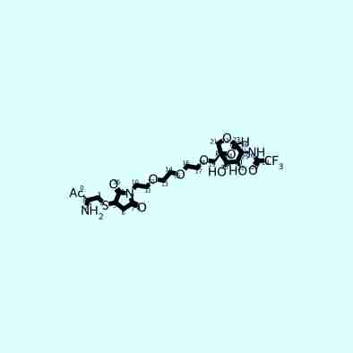 CC(=O)[C@@H](N)CSC1CC(=O)N(CCOCCOCCOC[C@@]23CO[C@@H](O2)[C@@H](NC(=O)C(F)(F)F)[C@@H](O)[C@H]3O)C1=O